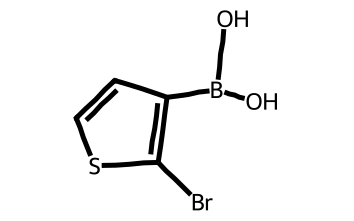 OB(O)c1ccsc1Br